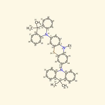 CCN1c2ccc(N3c4ccccc4C(C)(C)c4ccccc43)cc2Sc2cc(N3c4ccccc4C(C)(C)c4ccccc43)ccc21